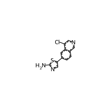 Nc1ncc(-c2ccc3cncc(Cl)c3c2)s1